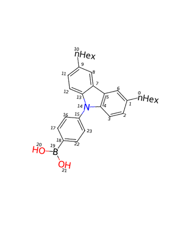 CCCCCCc1ccc2c(c1)c1cc(CCCCCC)ccc1n2-c1ccc(B(O)O)cc1